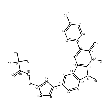 Cn1c(=O)c(-c2ccc(Cl)cc2)cc2c3cc(-c4csc(COC(=O)C(C)(C)C)n4)ccc3n(C)c21